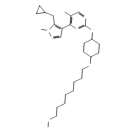 Cn1ncc(-c2nc(NC3CCC(NCCCCCCCCNC(=O)O)CC3)ncc2F)c1CC1CC1